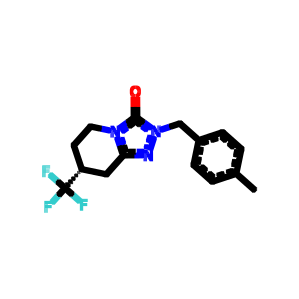 Cc1ccc(Cn2nc3n(c2=O)CC[C@@H](C(F)(F)F)C3)cc1